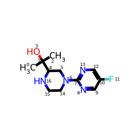 CC(C)(O)C1CN(c2ncc(F)cn2)CCN1